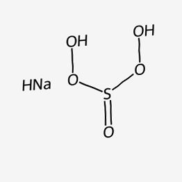 O=S(OO)OO.[NaH]